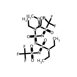 CCN(CC)S(=O)(=NS(=O)(=O)C(F)(F)F)N=S(=O)(N=S(=O)(OOC)C(F)(F)F)N(CC)CC